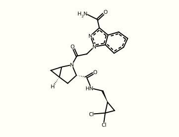 NC(=O)c1nn(CC(=O)N2C3C[C@@H]3C[C@H]2C(=O)NC[C@H]2CC2(Cl)Cl)c2ccccc12